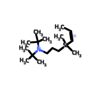 C/C=C\[Si](C)(C)CCCN(C(C)(C)C)C(C)(C)C